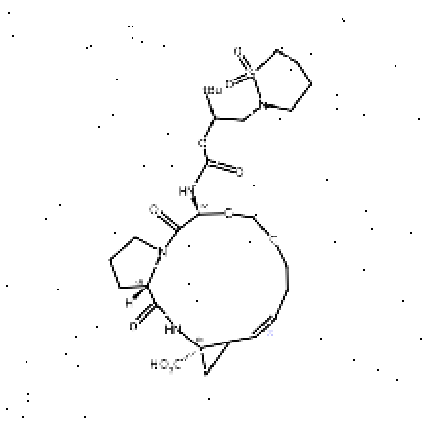 CC(C)(C)C(CN1CCCCS1(=O)=O)OC(=O)N[C@H]1CCCCC/C=C\C2C[C@@]2(C(=O)O)NC(=O)[C@@H]2CCCN2C1=O